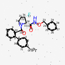 CCCc1ccc(-c2ccccc2C(=O)N2CC[C@H](F)[C@@H]2C(=O)NOCc2ccccc2)cc1